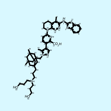 Cc1c(Nc2nc3ccccc3s2)nnc2c1CCCN2c1ccc(-c2cnn(CC34CC5(C)CC(C)(CC(CCCN(CCCO)CCCO)(C5)C3)C4)c2C)c(C(=O)O)n1